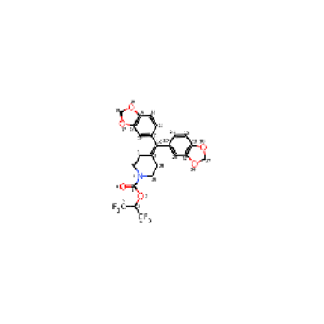 O=C(OC(C(F)(F)F)C(F)(F)F)N1CCC(=C(c2ccc3c(c2)OCO3)c2ccc3c(c2)OCO3)CC1